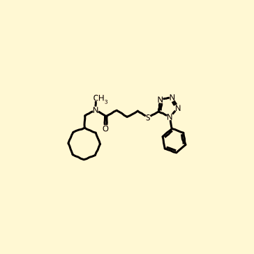 CN(CC1CCCCCCC1)C(=O)CCCSc1nnnn1-c1ccccc1